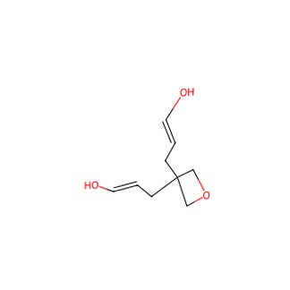 OC=CCC1(CC=CO)COC1